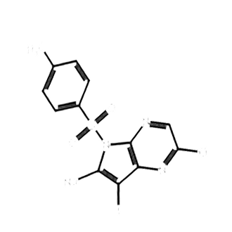 Cc1ccc(S(=O)(=O)n2[c]([Na])c(I)c3nc(Cl)cnc32)cc1